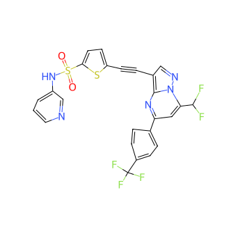 O=S(=O)(Nc1cccnc1)c1ccc(C#Cc2cnn3c(C(F)F)cc(-c4ccc(C(F)(F)F)cc4)nc23)s1